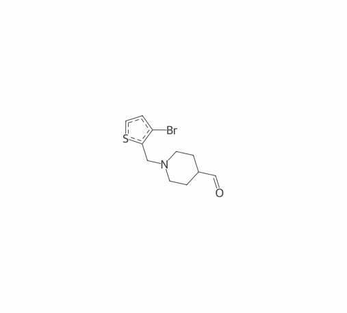 O=CC1CCN(Cc2sccc2Br)CC1